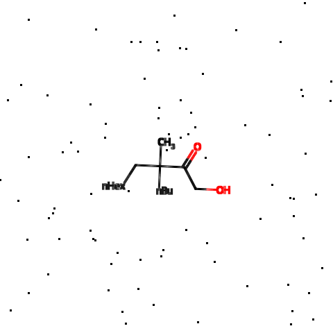 CCCCCCCC(C)(CCCC)C(=O)CO